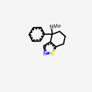 CNC1(c2ccccc2)CCCc2sncc21